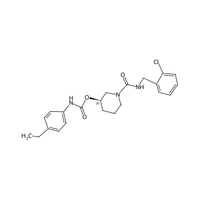 CCc1ccc(NC(=O)O[C@@H]2CCCN(C(=O)NCc3ccccc3Cl)C2)cc1